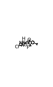 O=C(CN1C[C@]2(C[C@@H]2F)c2cc(C3CC3)ccc2C1=O)Nc1ncc(Cl)cn1